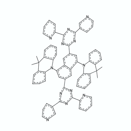 CC1(C)c2ccccc2N(c2cc(-c3nc(-c4cccnc4)nc(-c4ccccn4)n3)cc3c(N4c5ccccc5C(C)(C)c5ccccc54)cc(-c4nc(-c5cccnc5)nc(-c5ccccn5)n4)cc23)c2ccccc21